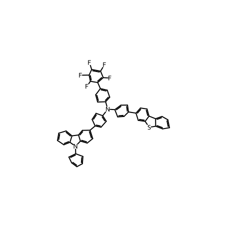 Fc1c(F)c(F)c(-c2ccc(N(c3ccc(-c4ccc5c(c4)sc4ccccc45)cc3)c3ccc(-c4ccc5c(c4)c4ccccc4n5-c4ccccc4)cc3)cc2)c(F)c1F